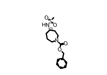 CS(=O)(=O)N[C@H]1CCCN(C(=O)OCc2ccccc2)CC1